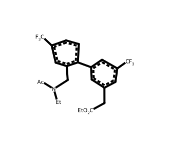 CCOC(=O)Cc1cc(-c2ccc(C(F)(F)F)cc2CN(CC)C(C)=O)cc(C(F)(F)F)c1